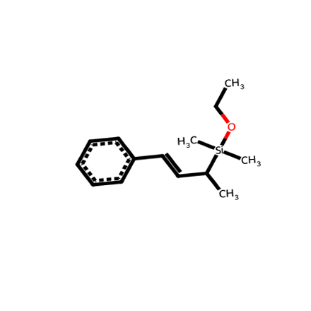 CCO[Si](C)(C)C(C)C=Cc1ccccc1